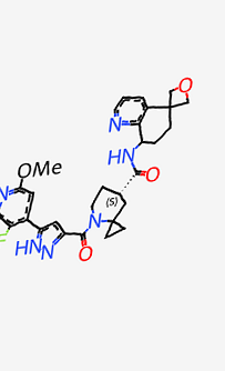 COc1cc(-c2cc(C(=O)N3CC[C@H](C(=O)NC4CCC5(COC5)c5cccnc54)CC34CC4)n[nH]2)c(F)cn1